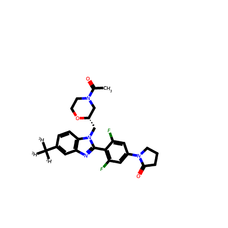 [2H]C([2H])([2H])c1ccc2c(c1)nc(-c1c(F)cc(N3CCCC3=O)cc1F)n2C[C@H]1CN(C(C)=O)CCO1